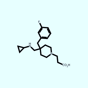 O=C(O)CCN1CCC(CNC2CC2)(Cc2cccc(F)c2)CC1